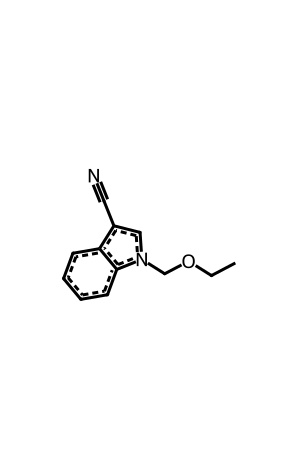 CCOCn1cc(C#N)c2ccccc21